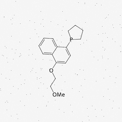 COCCOc1ccc(P2CCCC2)c2ccccc12